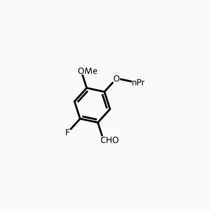 CCCOc1cc(C=O)c(F)cc1OC